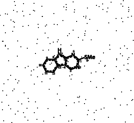 CSc1ncc2c(n1)[nH]c1ccccc12